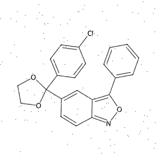 Clc1ccc(C2(c3ccc4noc(-c5ccccc5)c4c3)OCCO2)cc1